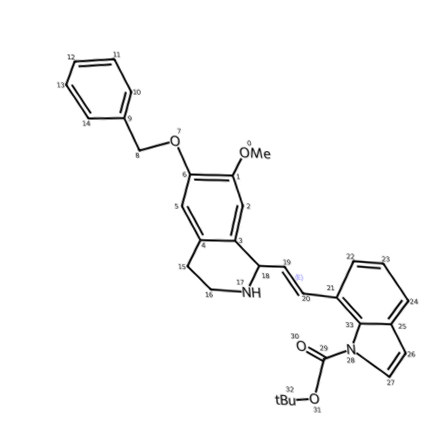 COc1cc2c(cc1OCc1ccccc1)CCNC2/C=C/c1cccc2ccn(C(=O)OC(C)(C)C)c12